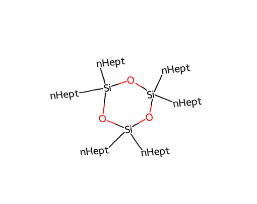 CCCCCCC[Si]1(CCCCCCC)O[Si](CCCCCCC)(CCCCCCC)O[Si](CCCCCCC)(CCCCCCC)O1